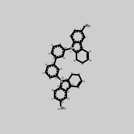 CCC(C)c1ccc2c(c1)c1c(n2-c2cccc(-c3cccc(-n4c5c(c6cc(C(C)CC)ccc64)C=CCC5)c3)c2)CCC=C1